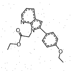 CCOC(=O)Cn1c(-c2ccc(OCC)cc2)cc2cccnc21